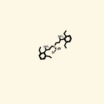 CCc1cccc(CC)c1C(N)CC[N](CCC(N)c1c(CC)cccc1CC)[Co]([Br])[Br]